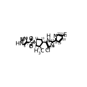 C[C@H]1CN(S(=O)(=O)c2c[nH]nn2)CC[C@H]1c1[nH]c(-c2ccc(F)cn2)nc1Cl